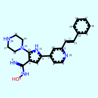 N=C(NO)c1cc(-c2ccnc(/C=C/c3ccccc3)c2)[nH]c1N1CCNCC1